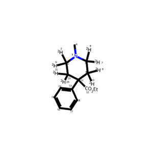 [2H]C1([2H])N(C)C([2H])([2H])C([2H])([2H])C(C(=O)OCC)(c2ccccc2)C1([2H])[2H]